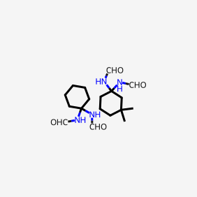 CC1(C)CCCC(NC=O)(NC=O)C1.O=CNC1(NC=O)CCCCC1